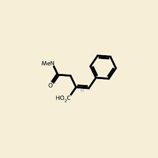 CNC(=O)C/C(=C\c1ccccc1)C(=O)O